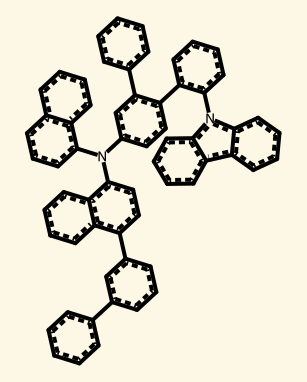 c1ccc(-c2cccc(-c3ccc(N(c4ccc(-c5ccccc5-n5c6ccccc6c6ccccc65)c(-c5ccccc5)c4)c4cccc5ccccc45)c4ccccc34)c2)cc1